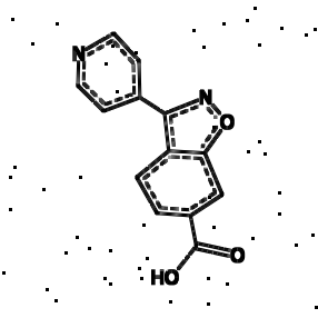 O=C(O)c1ccc2c(-c3ccncc3)noc2c1